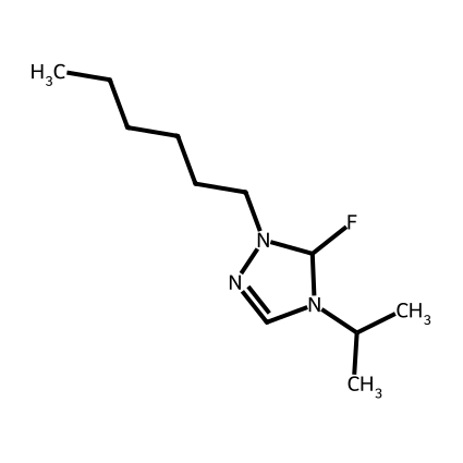 CCCCCCN1N=CN(C(C)C)C1F